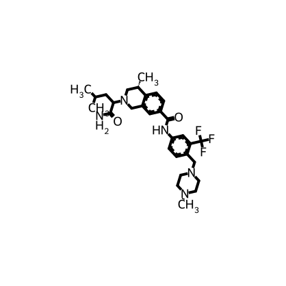 CC(C)CC(C(N)=O)N1Cc2cc(C(=O)Nc3ccc(CN4CCN(C)CC4)c(C(F)(F)F)c3)ccc2[C@@H](C)C1